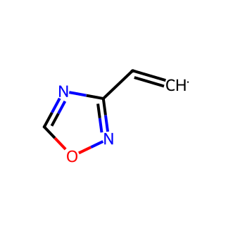 [CH]=Cc1ncon1